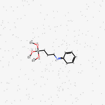 CCO[Si](CCCN=C1C=CC=CC1)(OCC)OCC